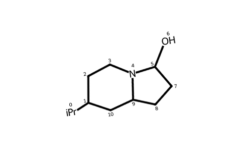 CC(C)C1CCN2C(O)CCC2C1